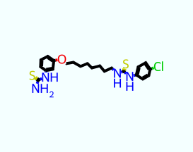 NC(=S)Nc1cccc(OCCCCCCCCNC(=S)Nc2ccc(Cl)cc2)c1